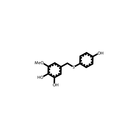 COc1cc(CSc2ccc(O)cc2)cc(O)c1O